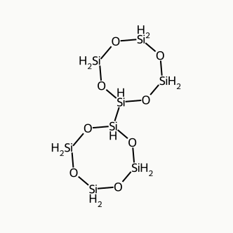 O1[SiH2]O[SiH2]O[SiH]([SiH]2O[SiH2]O[SiH2]O[SiH2]O2)O[SiH2]1